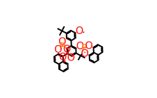 COc1cc(-c2cc(OC)cc(C(C)(C)C)c2OP2Oc3cccc4cccc(c34)O2)c(OP2OC(=O)c3c(ccc4ccccc34)O2)c(C(C)(C)C)c1